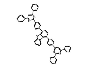 c1ccc(-c2cc(-c3ccc(-c4ccc(-c5ccc(-c6nc(-c7ccccc7)cc(-c7ccccc7)n6)cc5)c5sc6ccccc6c45)cc3)nc(-c3ccccc3)n2)cc1